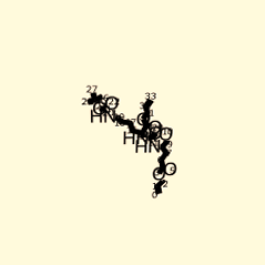 C=CCOC(=O)CCC(C=O)NC(=O)NC(CCCCNC(=O)OC(C)(C)C)C(=O)OCC=C